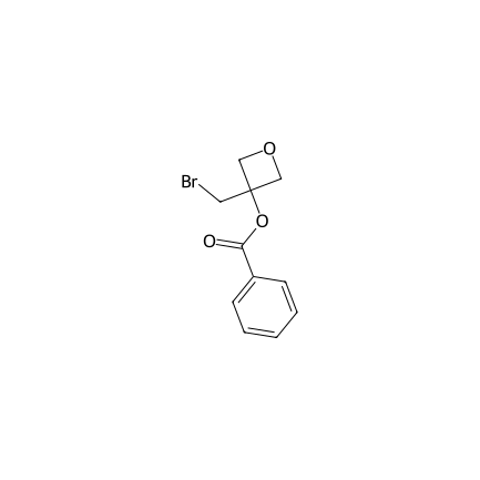 O=C(OC1(CBr)COC1)c1ccccc1